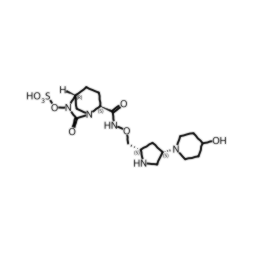 O=C(NOC[C@@H]1C[C@H](N2CCC(O)CC2)CN1)[C@@H]1CC[C@@H]2CN1C(=O)N2OS(=O)(=O)O